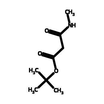 CNC(=O)CC(=O)OC(C)(C)C